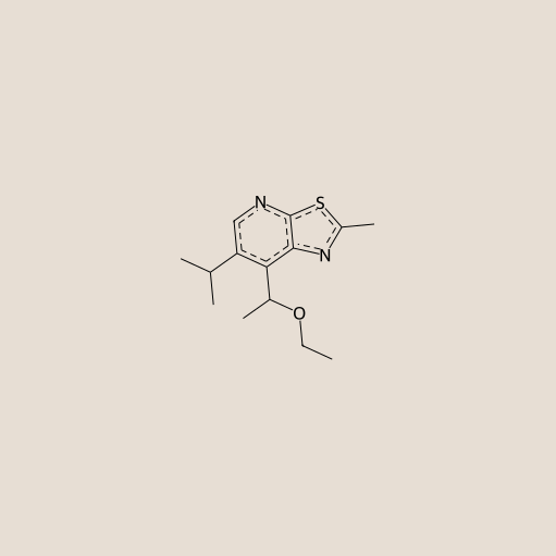 CCOC(C)c1c(C(C)C)cnc2sc(C)nc12